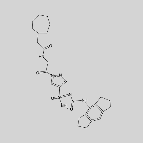 NS(=O)(=NC(=O)Nc1c2c(cc3c1CCC3)CCC2)c1cnn(C(=O)CNC(=O)CC2CCCCCC2)c1